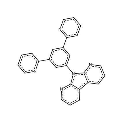 c1ccc(-c2cc(-c3ccccn3)cc(-n3c4ncccc4c4cccnc43)c2)nc1